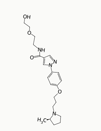 C[C@@H]1CCCN1CCCOc1ccc(-n2cc(C(=O)NCCOCCO)cn2)cc1